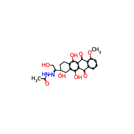 COc1cccc2c1C(=O)c1c(O)c3c(c(O)c1C2=O)C[C@@](O)(/C(CO)=N/NC(C)=O)CC3